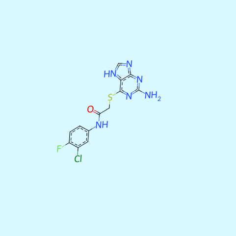 Nc1nc(SCC(=O)Nc2ccc(F)c(Cl)c2)c2[nH]cnc2n1